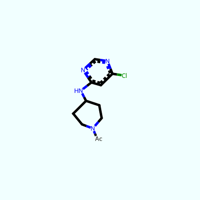 CC(=O)N1CCC(Nc2cc(Cl)ncn2)CC1